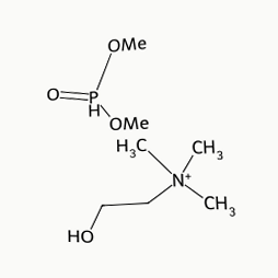 CO[PH](=O)OC.C[N+](C)(C)CCO